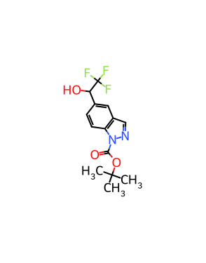 CC(C)(C)OC(=O)n1ncc2cc(C(O)C(F)(F)F)ccc21